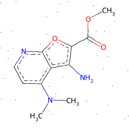 COC(=O)c1oc2nccc(N(C)C)c2c1N